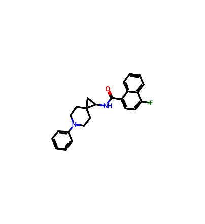 O=C(NC1CC12CCN(c1ccccc1)CC2)c1ccc(F)c2ccccc12